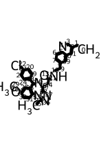 C=Cc1cnc2ccc(CCNC(=O)C[C@@H]3N=C(c4ccc(Cl)cc4)c4cc(OC)ccc4-n4c(C)nnc43)cc2c1